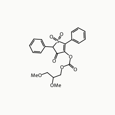 COCC(COC(=O)OC1=C(c2ccccc2)S(=O)(=O)C(c2ccccc2)C1=O)OC